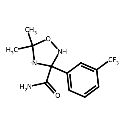 CC1(C)[N]C(C(N)=O)(c2cccc(C(F)(F)F)c2)NO1